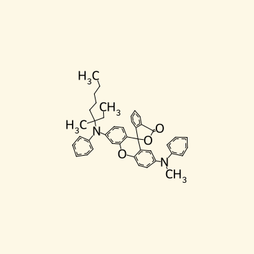 CCCCCC(C)(CC)N(c1ccccc1)c1ccc2c(c1)Oc1ccc(N(C)c3ccccc3)cc1C21OC(=O)c2ccccc21